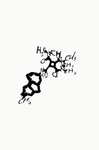 CNC(=O)C1C(C(=O)N(C)C)C(C(=O)Nc2ccc3c(c2)Cc2cc(C)ccc2-3)C1C(=O)N(C)C